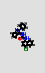 O=C(Nc1ccc(Cl)c2ccccc12)Nc1c2c(nn1-c1ccccc1)CCC2